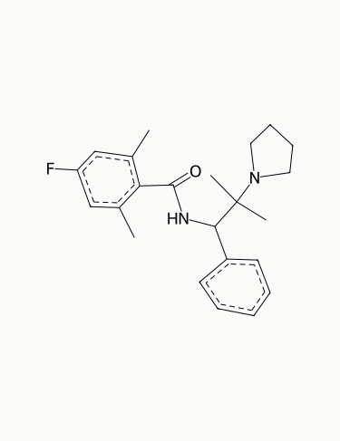 Cc1cc(F)cc(C)c1C(=O)NC(c1ccccc1)C(C)(C)N1CCCC1